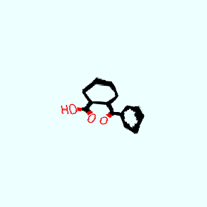 O=C(O)C1CCCCC1C(=O)c1ccccc1